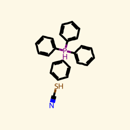 N#CS.c1ccc([PH](c2ccccc2)(c2ccccc2)c2ccccc2)cc1